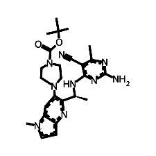 Cc1nc(N)nc(N[C@@H](C)c2nc3ccn(C)c3cc2N2CCN(C(=O)OC(C)(C)C)CC2)c1C#N